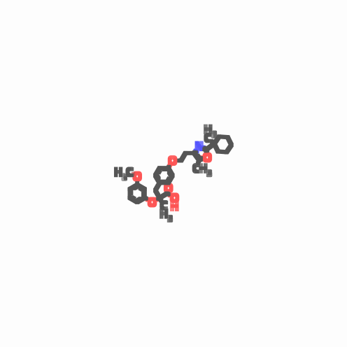 COc1cccc(OC(C)(Cc2ccc(OCCc3nc(C4(C)CCCCC4)oc3C)cc2)C(=O)O)c1